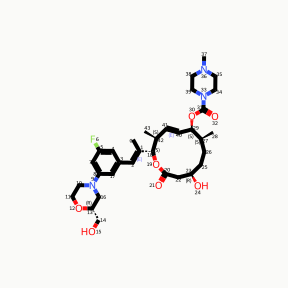 C/C(=C\c1cc(F)cc(N2CCO[C@@H](CO)C2)c1)[C@H]1OC(=O)C[C@H](O)CC[C@H](C)[C@H](OC(=O)N2CCN(C)CC2)/C=C/[C@@H]1C